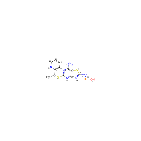 CC(Sc1nc(N)c2sc(NPO)nc2n1)c1ccccn1